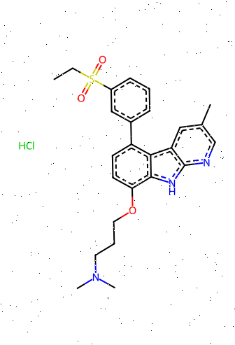 CCS(=O)(=O)c1cccc(-c2ccc(OCCCN(C)C)c3[nH]c4ncc(C)cc4c23)c1.Cl